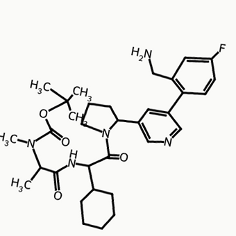 CC(C(=O)NC(C(=O)N1CCCC1c1cncc(-c2ccc(F)cc2CN)c1)C1CCCCC1)N(C)C(=O)OC(C)(C)C